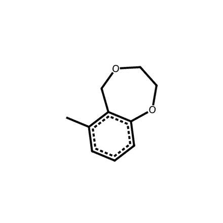 Cc1cccc2c1COCCO2